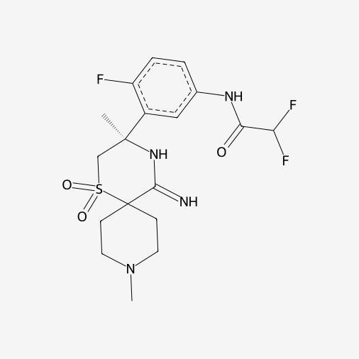 CN1CCC2(CC1)C(=N)N[C@](C)(c1cc(NC(=O)C(F)F)ccc1F)CS2(=O)=O